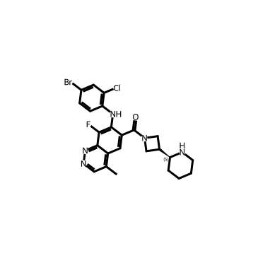 Cc1cnnc2c(F)c(Nc3ccc(Br)cc3Cl)c(C(=O)N3CC([C@@H]4CCCCN4)C3)cc12